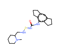 CN1CCCCC1CNSNC(=O)Nc1c2c(cc3c1CCC3)CCC2